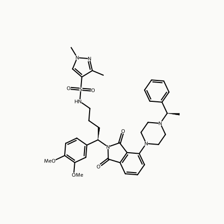 COc1ccc([C@@H](CCCNS(=O)(=O)c2cn(C)nc2C)N2C(=O)c3cccc(N4CCN([C@H](C)c5ccccc5)CC4)c3C2=O)cc1OC